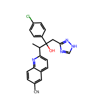 CC(c1ccc2cc(C#N)ccc2n1)C(O)(Cc1nc[nH]n1)c1ccc(Cl)cc1